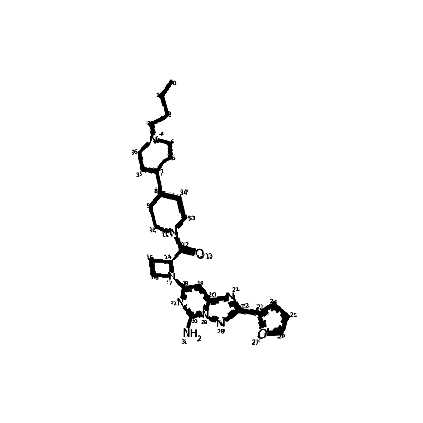 CCCCN1CCC(C2CCN(C(=O)[C@@H]3CCN3c3cc4nc(-c5ccco5)nn4c(N)n3)CC2)CC1